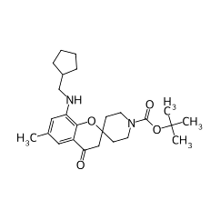 Cc1cc(NCC2CCCC2)c2c(c1)C(=O)CC1(CCN(C(=O)OC(C)(C)C)CC1)O2